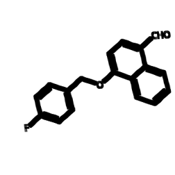 O=Cc1ccc(OCc2ccc(F)cc2)c2ccccc12